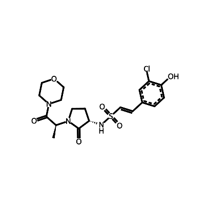 C[C@@H](C(=O)N1CCOCC1)N1CC[C@H](NS(=O)(=O)/C=C/c2ccc(O)c(Cl)c2)C1=O